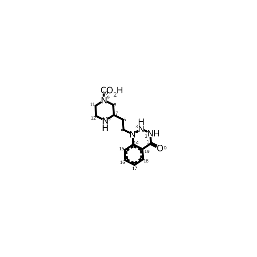 O=C1NNN(CCC2CN(C(=O)O)CCN2)c2ccccc21